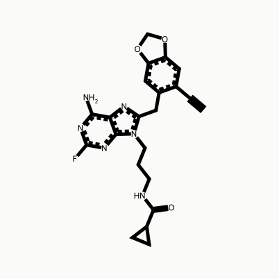 C#Cc1cc2c(cc1Cc1nc3c(N)nc(F)nc3n1CCCNC(=O)C1CC1)OCO2